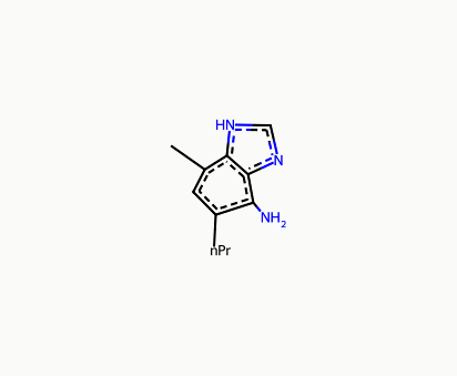 CCCc1cc(C)c2[nH]cnc2c1N